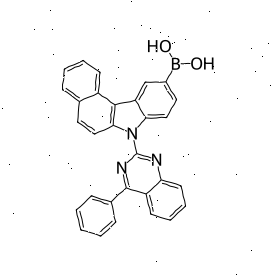 OB(O)c1ccc2c(c1)c1c3ccccc3ccc1n2-c1nc(-c2ccccc2)c2ccccc2n1